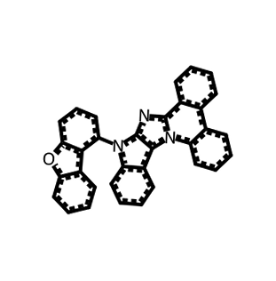 c1ccc2c(c1)oc1cccc(-n3c4ccccc4c4c3nc3c5ccccc5c5ccccc5n34)c12